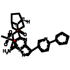 CS(=O)(=O)c1c([C@H]2CC3CC[C@@H](C2)N3C(=O)NC2CC2)nc2c(-c3ccc(-c4ccccc4)nc3)cnn2c1N